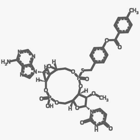 CO[C@@H]1[C@@H]2OP(=O)(SCc3ccc(OC(=O)c4ccc(C)cc4)cc3)OC[C@H]3O[C@@H](n4cnc5c(N)ncnc54)[C@H](OP(=O)(O)OC[C@H]2O[C@H]1n1ccc(=O)[nH]c1=O)[C@@H]3F